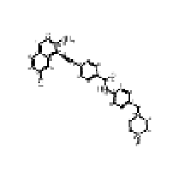 CN1CCN(Cc2ccc(NC(O)c3ccc(C#Cc4c(N)ncc5ccc(Cl)cc45)cc3)cc2)CC1